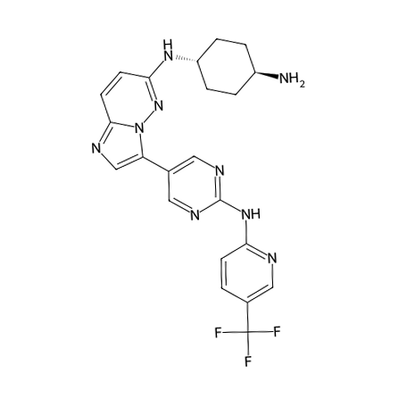 N[C@H]1CC[C@H](Nc2ccc3ncc(-c4cnc(Nc5ccc(C(F)(F)F)cn5)nc4)n3n2)CC1